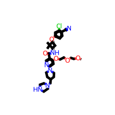 COCCOCCOc1cc(N2CCC(CN3CCNCC3)CC2)ncc1C(=O)N[C@@H]1C[C@@H](Oc2ccc(C#N)c(Cl)c2)C1(C)C